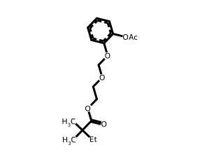 CCC(C)(C)C(=O)OCCOCOc1ccccc1OC(C)=O